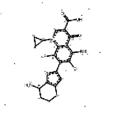 Nc1c(Cl)c(-c2cc3c(s2)C(N)CCC3)c(F)c2c1c(=O)c(C(=O)O)cn2C1CC1